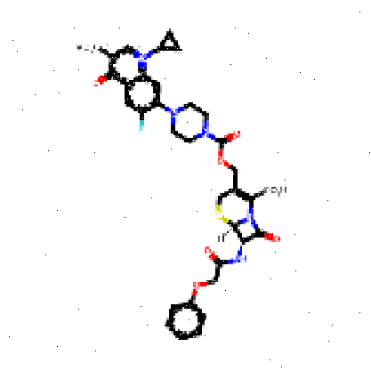 O=C(COc1ccccc1)N[C@@H]1C(=O)N2C(C(=O)O)=C(COC(=O)N3CCN(c4cc5c(cc4F)c(=O)c(C(=O)O)cn5C4CC4)CC3)CS[C@H]12